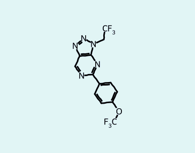 FC(F)(F)Cn1nnc2cnc(-c3ccc(OC(F)(F)F)cc3)nc21